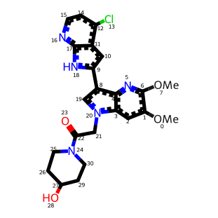 COc1cc2c(nc1OC)c(-c1cc3c(Cl)ccnc3[nH]1)cn2CC(=O)N1CCC(O)CC1